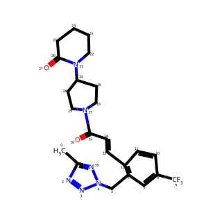 Cc1nnn(Cc2cc(C(F)(F)F)ccc2C=CC(=O)N2CCC(N3CCCCC3=O)CC2)n1